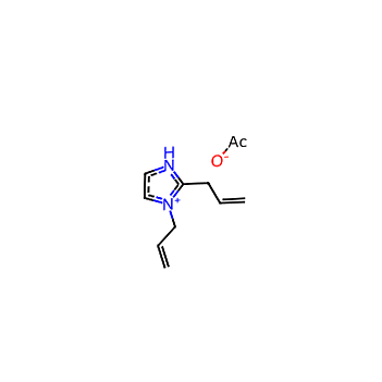 C=CCc1[nH]cc[n+]1CC=C.CC(=O)[O-]